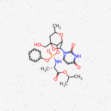 CC(C)OC(=O)[C@H](C)NP(=O)(Oc1ccccc1)OC1C2OC(C)CC1(CO)OC2n1ccc(=O)[nH]c1=O